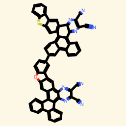 N#Cc1nc2c3cc4c(cc3c3c5ccccc5c5ccccc5c3c2nc1C#N)oc1ccc(-c2ccc3c(c2)c2ccccc2c2c5nc(C#N)c(C#N)nc5c5cc6c(cc5c32)sc2ccccc26)cc14